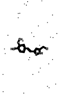 COc1cc(/C=C/c2cc(CCl)[nH]n2)ccc1O